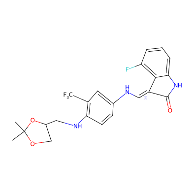 CC1(C)OCC(CNc2ccc(N/C=C3/C(=O)Nc4cccc(F)c43)cc2C(F)(F)F)O1